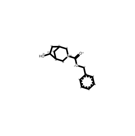 O=C(OCc1ccccc1)N1CC2CC(O)C(C2)C1